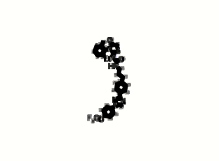 CCc1cccc(C)c1N1C(=O)CS/C1=N\C(=O)NCCCc1ccc(-c2ncn(-c3ccc(OC(F)(F)F)cc3)n2)cc1